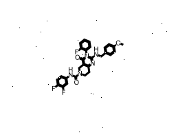 COc1ccc(CNc2nc3c(c(=O)n2-c2ccccc2F)CN(C(=O)Nc2ccc(F)c(F)c2)CC3)cc1